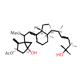 C=C1[C@@H](OC(C)=O)C[C@@]2(O)CC12C(/C=C1\CCC[C@]2(C)[C@@H]([C@H](C)/C=C/[C@H](C)C(C)(C)O)CC[C@@H]12)OC